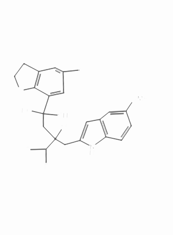 CSc1ccc2[nH]c(CC(O)(CC(C)(C)c3cc(F)cc4c3OCC4)C(F)F)cc2c1